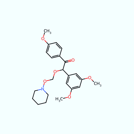 COc1ccc(C(=O)C(OCON2CCCCC2)c2cc(OC)cc(OC)c2)cc1